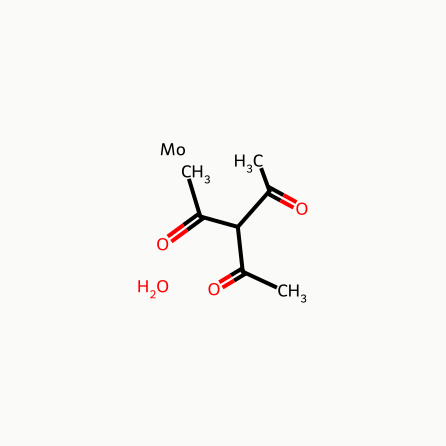 CC(=O)C(C(C)=O)C(C)=O.O.[Mo]